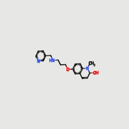 CN1c2ccc(OCCCNCc3cccnc3)cc2C=CC1O